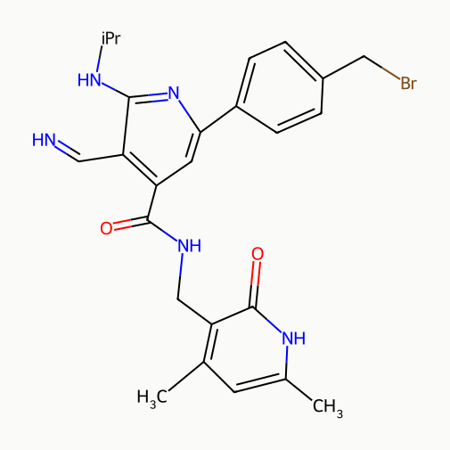 Cc1cc(C)c(CNC(=O)c2cc(-c3ccc(CBr)cc3)nc(NC(C)C)c2C=N)c(=O)[nH]1